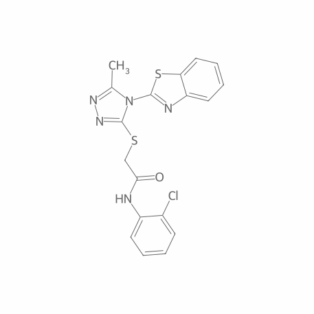 Cc1nnc(SCC(=O)Nc2ccccc2Cl)n1-c1nc2ccccc2s1